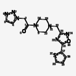 O=C(Cn1ccnn1)N1CCN(Cc2noc(-c3cccs3)n2)CC1